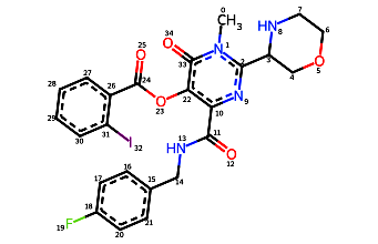 Cn1c(C2COCCN2)nc(C(=O)NCc2ccc(F)cc2)c(OC(=O)c2ccccc2I)c1=O